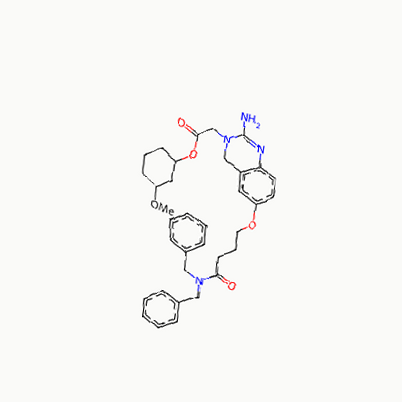 COC1CCCC(OC(=O)CN2Cc3cc(OCCCC(=O)N(Cc4ccccc4)Cc4ccccc4)ccc3N=C2N)C1